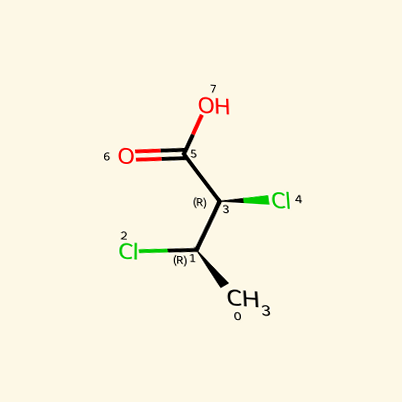 C[C@@H](Cl)[C@H](Cl)C(=O)O